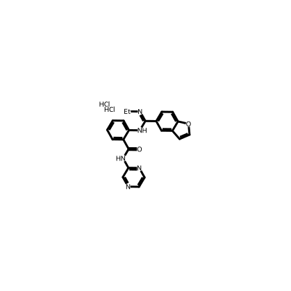 CCN=C(Nc1ccccc1C(=O)Nc1cnccn1)c1ccc2occc2c1.Cl.Cl